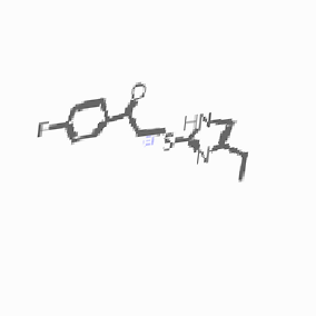 CCc1c[nH]c(S/C=C/C(=O)c2ccc(F)cc2)n1